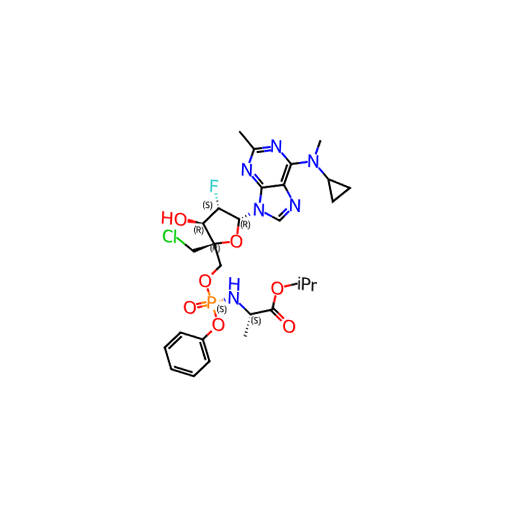 Cc1nc(N(C)C2CC2)c2ncn([C@@H]3O[C@](CCl)(CO[P@@](=O)(N[C@@H](C)C(=O)OC(C)C)Oc4ccccc4)[C@@H](O)[C@@H]3F)c2n1